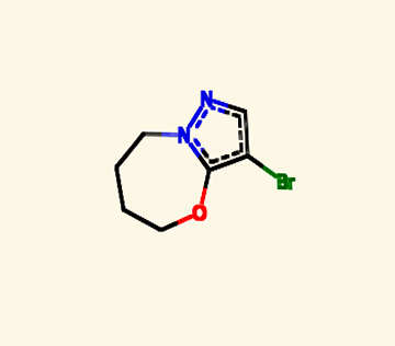 Brc1cnn2c1OCCCC2